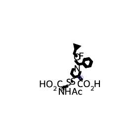 CC(=O)N[C@@H](CSSC1CCN(C(COCC2CC2)c2ccccc2F)C/C1=C/C(=O)O)C(=O)O